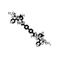 COC(=O)N[C@H](C(=O)N1[C@@H]2C[C@@H]2C[C@H]1c1nc(-c2ccc(-c3ccc(-c4nc([C@@H]5C[C@H]6C[C@H]6N5C(=O)[C@@H](NC(=O)OC)C5CCOCC5)[nH]c4F)cc3)cc2)c[nH]1)C1CCOCC1